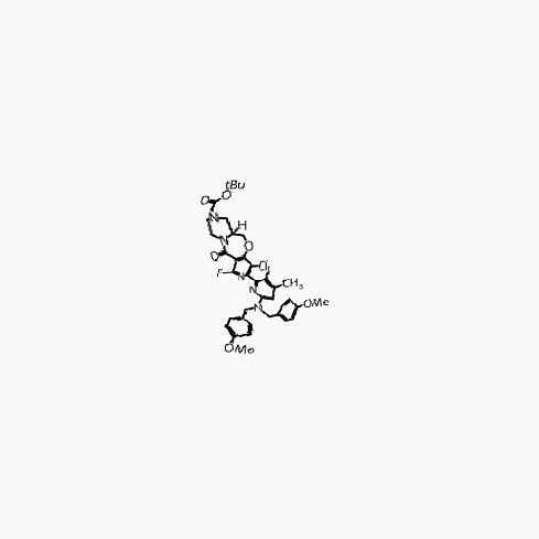 COc1ccc(CN(Cc2ccc(OC)cc2)c2cc(C)c(I)c(-c3nc(F)c4c(c3Cl)OC[C@H]3CN(C(=O)OC(C)(C)C)CCN3C4=O)n2)cc1